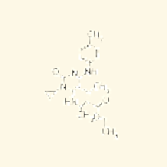 CCOC(=O)C1=C(C)Nc2c(c(Nc3ccc(C)cc3)nc(=O)n2C2CC2)C1C